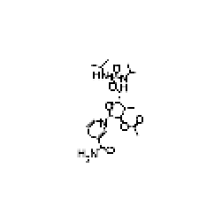 CC(=O)O[C@@H]1[C@H](C)[C@@H](COP(=O)(NC(C)C)NC(C)C)O[C@H]1N1C=CCC(C(N)=O)=C1